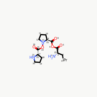 CC(C)C[C@H](N)C(=O)OC(=O)[C@@H]1CCCN1OC(=O)[C@@H]1CCCN1